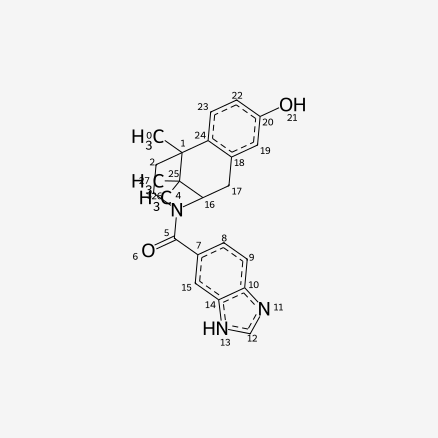 CC12CCN(C(=O)c3ccc4nc[nH]c4c3)C(Cc3cc(O)ccc31)C2(C)C